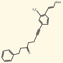 CCCCC/C=C/c1ccc(C#CCCC(=O)CCc2ccccc2)cc1C(F)(F)F